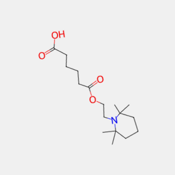 CC1(C)CCCC(C)(C)N1CCOC(=O)CCCCC(=O)O